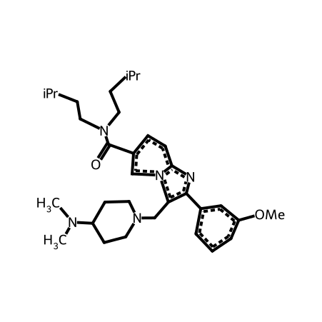 COc1cccc(-c2nc3ccc(C(=O)N(CCC(C)C)CCC(C)C)cn3c2CN2CCC(N(C)C)CC2)c1